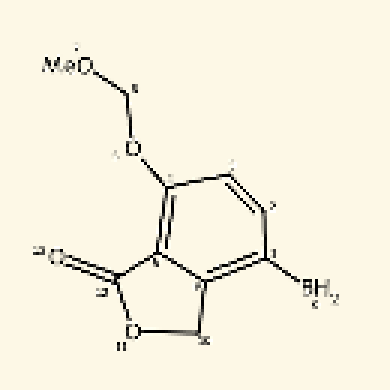 Bc1ccc(OCOC)c2c1COC2=O